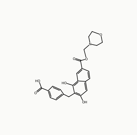 O=C(O)c1ccc(Cc2c(O)cc3ccc(C(=O)OCN4CCOCC4)cc3c2O)cc1